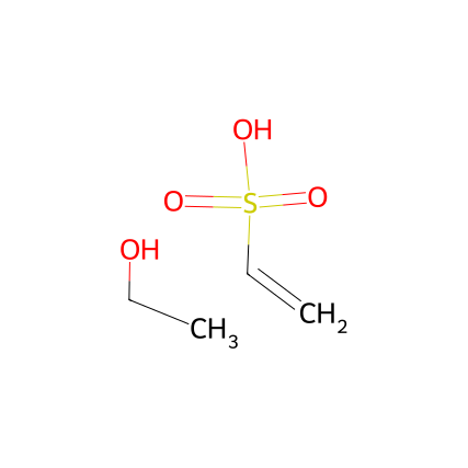 C=CS(=O)(=O)O.CCO